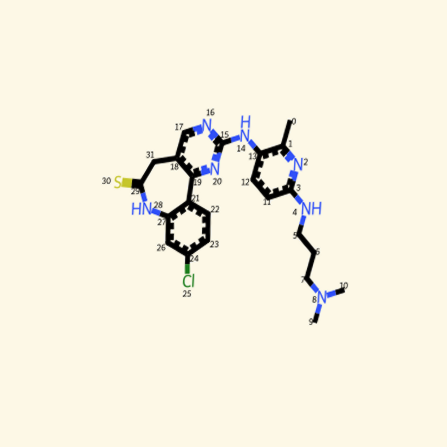 Cc1nc(NCCCN(C)C)ccc1Nc1ncc2c(n1)-c1ccc(Cl)cc1NC(=S)C2